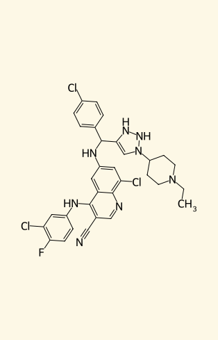 CCN1CCC(N2C=C(C(Nc3cc(Cl)c4ncc(C#N)c(Nc5ccc(F)c(Cl)c5)c4c3)c3ccc(Cl)cc3)NN2)CC1